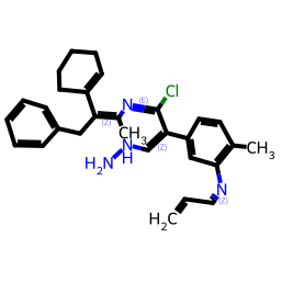 C=C/C=N\c1cc(C(=C/NN)/C(Cl)=N\C(C)=C(\Cc2ccccc2)C2=CCCCC2)ccc1C